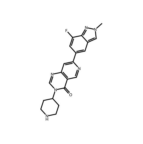 Cn1cc2cc(-c3cc4ncn(C5CCNCC5)c(=O)c4cn3)cc(F)c2n1